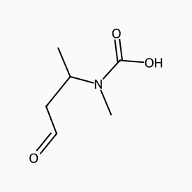 CC(CC=O)N(C)C(=O)O